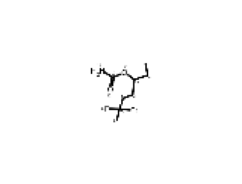 CCC(CCC(C)(F)F)OC(N)=O